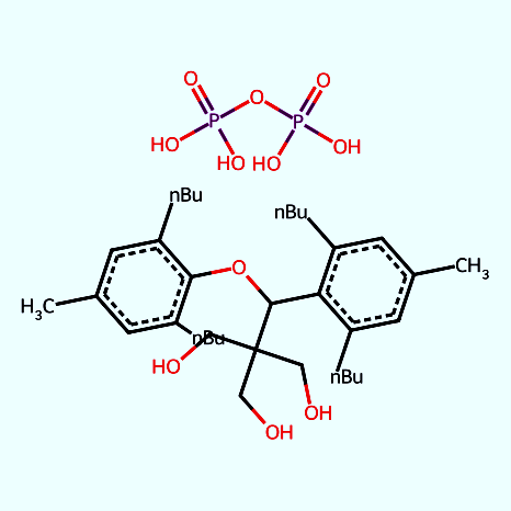 CCCCc1cc(C)cc(CCCC)c1OC(c1c(CCCC)cc(C)cc1CCCC)C(CO)(CO)CO.O=P(O)(O)OP(=O)(O)O